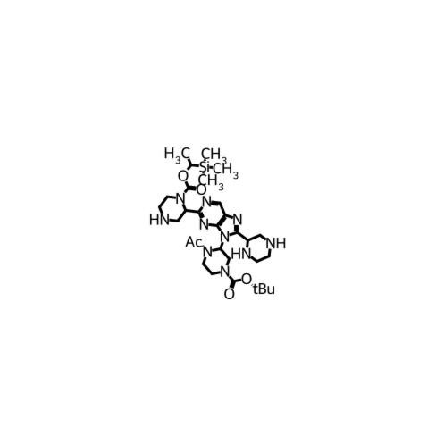 CC(=O)N1CCN(C(=O)OC(C)(C)C)CC1n1c(C2CNCCN2)nc2cnc(C3CNCCN3C(=O)OC(C)[Si](C)(C)C)nc21